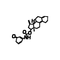 C=C1C[C@H](OC(=O)NC2=CC(=O)CC=C2)[C@@]2(C)CCC3=C4CCCC=C4CCC3[C@@H]12